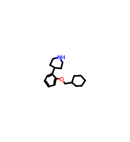 c1ccc(C2CCNCC2)c(OCC2CCCCC2)c1